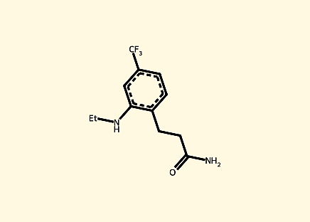 CCNc1cc(C(F)(F)F)ccc1CCC(N)=O